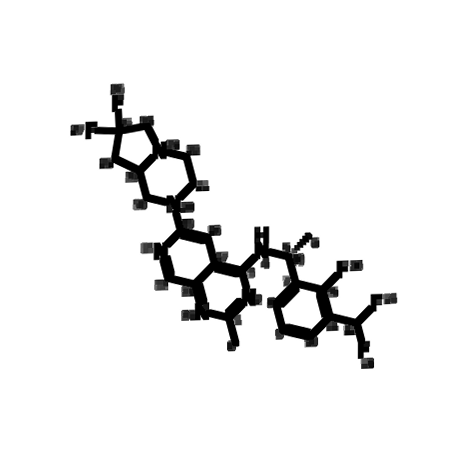 Cc1nc(N[C@H](C)c2cccc(C(F)F)c2F)c2cc(N3CCN4CC(F)(F)CC4C3)ncc2n1